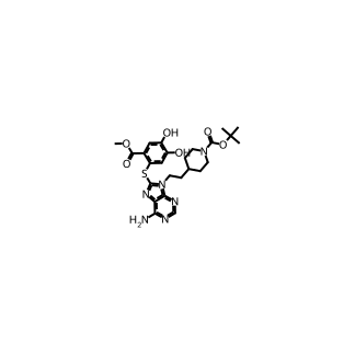 COC(=O)c1cc(O)c(O)cc1Sc1nc2c(N)ncnc2n1CCC1CCN(C(=O)OC(C)(C)C)CC1